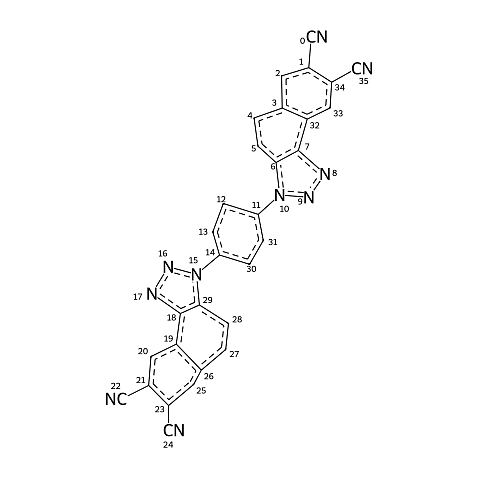 N#Cc1cc2ccc3c(nnn3-c3ccc(-n4nnc5c6cc(C#N)c(C#N)cc6ccc54)cc3)c2cc1C#N